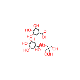 O=C(O)c1cc(O)c(O)c(O)c1.O=C(O)c1cc(O)c(O)c(O)c1.OCC(CO)(CO)CO